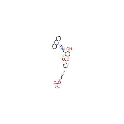 C=C(C)C(=O)OCCCCCCc1ccc(C(=O)Oc2ccc(O)c(/C=N/N=C/c3c4ccccc4cc4ccccc34)c2F)cc1